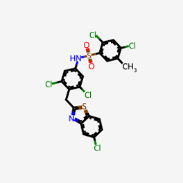 Cc1cc(S(=O)(=O)Nc2cc(Cl)c(Cc3nc4cc(Cl)ccc4s3)c(Cl)c2)c(Cl)cc1Cl